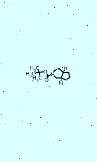 CC(C)(C)OC(=O)N1CC[C@@H]2CCC[C@@H]2C1